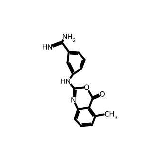 Cc1cccc2nc(Nc3cccc(C(=N)N)c3)oc(=O)c12